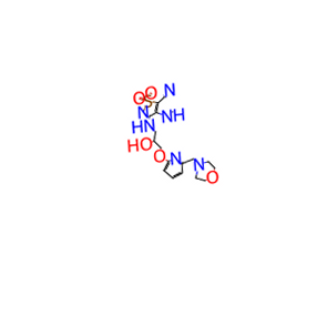 CNC1=C(C#N)S(=O)(=O)N=C1NCC(O)COc1cccc(CN2CCOCC2)n1